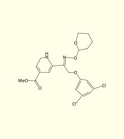 COC(=O)C1=CCNC(/C(COc2cc(Cl)cc(Cl)c2)=N/OC2CCCCO2)=C1